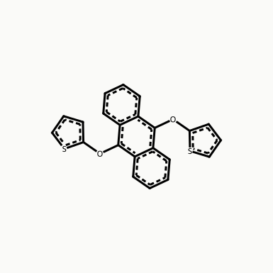 c1csc(Oc2c3ccccc3c(Oc3cccs3)c3ccccc23)c1